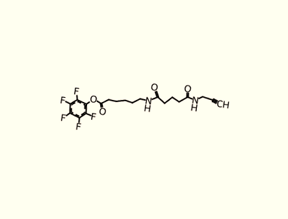 C#CCNC(=O)CCCC(=O)NCCCCCC(=O)Oc1c(F)c(F)c(F)c(F)c1F